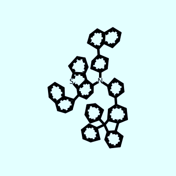 c1ccc(C2(c3ccccc3)c3ccccc3-c3ccc(-c4cccc(N(c5ccc(-c6cccc7ccccc67)cc5)c5ccc(-c6cccc7ccccc67)c6sc7ccccc7c56)c4)cc32)cc1